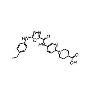 CCc1ccc(Nc2nnc(C(=O)Nc3ccc(N4CCC(C(=O)O)CC4)nc3)o2)cc1